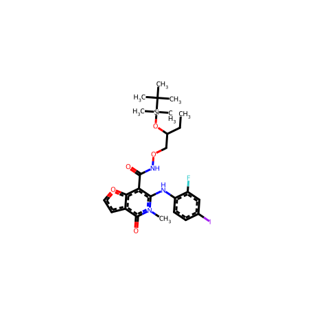 CCC(CONC(=O)c1c(Nc2ccc(I)cc2F)n(C)c(=O)c2ccoc12)O[Si](C)(C)C(C)(C)C